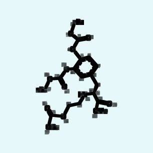 CCCCOC(=O)Oc1ccc(C[C@H](NCCOC(=O)OCC(C)C)C(=O)OC)cc1OC(=O)OCCCC